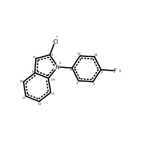 Fc1ccc(-n2c(Cl)cc3ccccc32)cc1